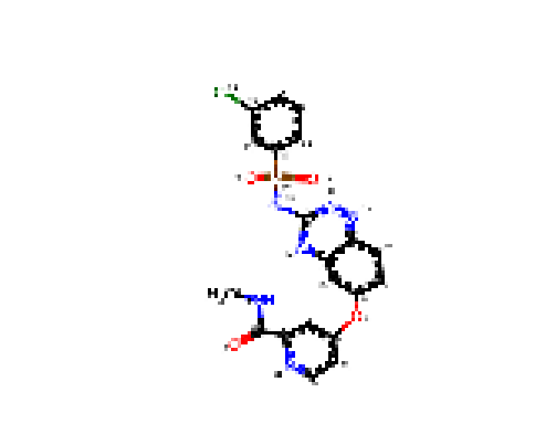 CNC(=O)c1cc(Oc2ccc3nnc(NS(=O)(=O)c4cccc(Cl)c4)nc3c2)ccn1